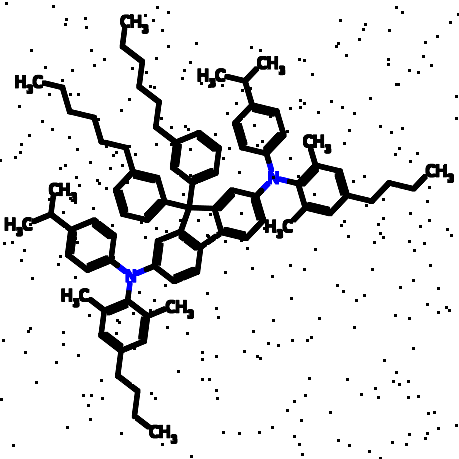 CCCCCCc1cccc(C2(c3cccc(CCCCCC)c3)c3cc(N(c4ccc(C(C)C)cc4)c4c(C)cc(CCCC)cc4C)ccc3-c3ccc(N(c4ccc(C(C)C)cc4)c4c(C)cc(CCCC)cc4C)cc32)c1